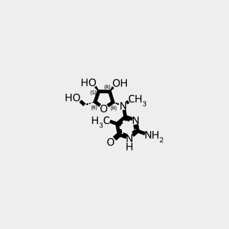 Cc1c(N(C)[C@@H]2O[C@H](CO)[C@@H](O)[C@H]2O)nc(N)[nH]c1=O